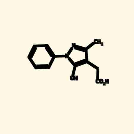 Cc1nn(-c2ccccc2)c(O)c1CC(=O)O